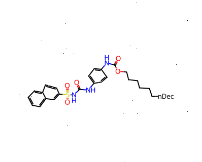 CCCCCCCCCCCCCCCCOC(=O)Nc1ccc(NC(=O)NS(=O)(=O)c2ccc3ccccc3c2)cc1